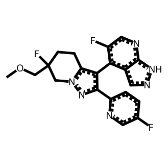 COCC1(F)CCc2c(-c3c(F)cnc4[nH]ncc34)c(-c3ccc(F)cn3)nn2C1